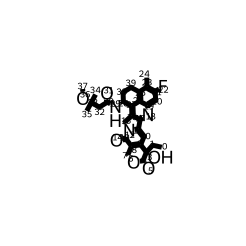 CC[C@@]1(O)C(=O)OCc2c1cc1n(c2=O)Cc2c-1nc1cc(F)c(C)c3c1c2[C@@H](NC(=O)CC(C)(C)OC)CC3